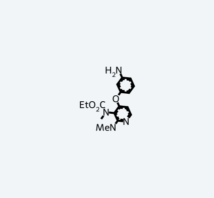 CCOC(=O)N(C)c1c(Oc2cccc(N)c2)ccnc1NC